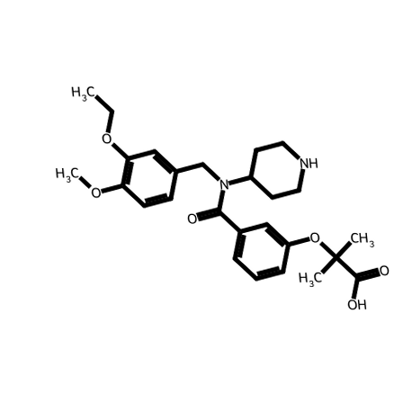 CCOc1cc(CN(C(=O)c2cccc(OC(C)(C)C(=O)O)c2)C2CCNCC2)ccc1OC